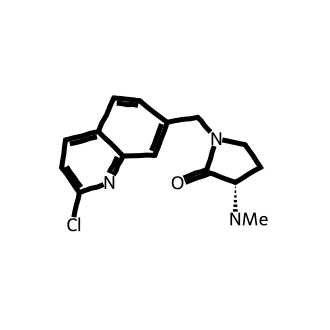 CN[C@H]1CCN(Cc2ccc3ccc(Cl)nc3c2)C1=O